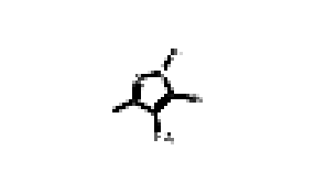 CC(C)(C)n1nc(I)c([N+](=O)[O-])c1Br